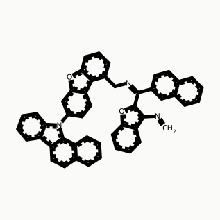 C=Nc1c(/C(=N\Cc2cccc3oc4cc(-n5c6ccccc6c6ccc7ccccc7c65)ccc4c23)c2ccc3ccccc3c2)oc2ccccc12